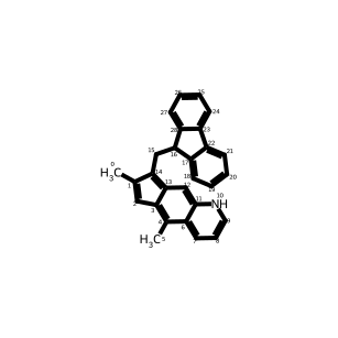 Cc1cc2c(C)c3ccc[nH]c3cc2c1CC1c2ccccc2-c2ccccc21